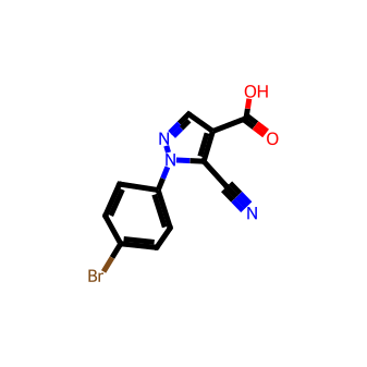 N#Cc1c(C(=O)O)cnn1-c1ccc(Br)cc1